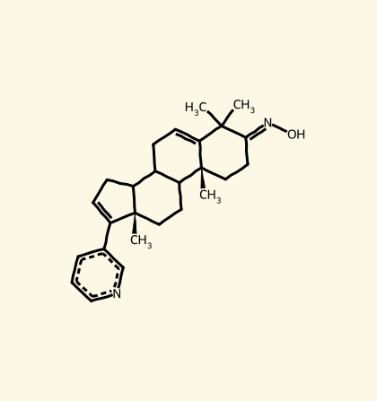 CC1(C)C2=CCC3C(CC[C@]4(C)C(c5cccnc5)=CCC34)[C@@]2(C)CCC1=NO